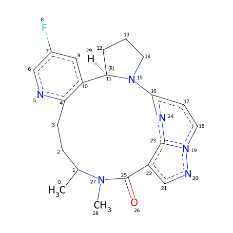 CC1CCc2ncc(F)cc2[C@H]2CCCN2c2ccn3ncc(c3n2)C(=O)N1C